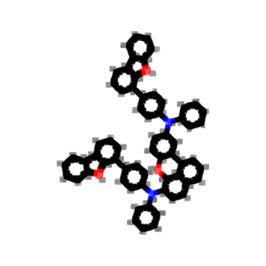 c1ccc(N(c2ccc(-c3cccc4c3oc3ccccc34)cc2)c2ccc3c(c2)-c2cccc4ccc(N(c5ccccc5)c5ccc(-c6cccc7c6oc6ccccc67)cc5)c(c24)O3)cc1